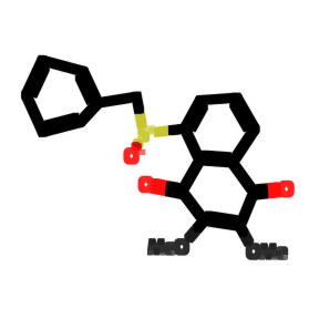 COC1=C(OC)C(=O)c2c(cccc2[S+]([O-])Cc2ccccc2)C1=O